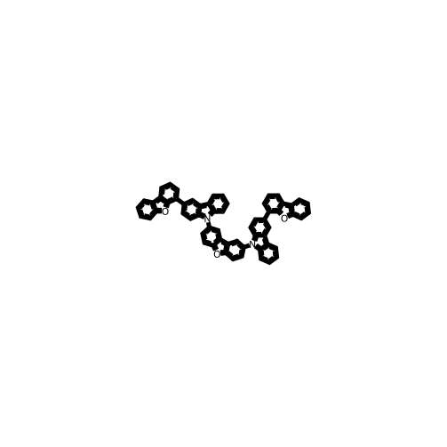 c1ccc2c(c1)oc1c(-c3ccc4c(c3)c3ccccc3n4-c3ccc4oc5ccc(-n6c7ccccc7c7cc(-c8cccc9c8oc8ccccc89)ccc76)cc5c4c3)cccc12